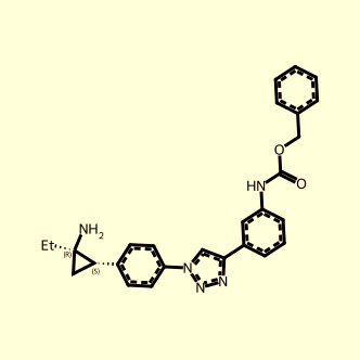 CC[C@@]1(N)C[C@H]1c1ccc(-n2cc(-c3cccc(NC(=O)OCc4ccccc4)c3)nn2)cc1